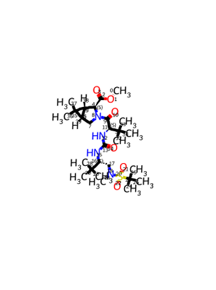 COC(=O)[C@@H]1[C@@H]2[C@H](CN1C(=O)[C@@H](NC(=O)N[C@H](CN(C)S(=O)(=O)C(C)(C)C)C(C)(C)C)C(C)(C)C)C2(C)C